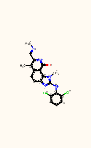 CN/N=C/c1[nH]c(=O)c2c(ccc3nc(Nc4c(Cl)cccc4Cl)n(C)c32)c1C